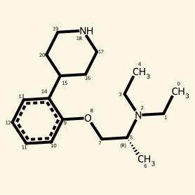 CCN(CC)[C@H](C)COc1ccccc1C1CCNCC1